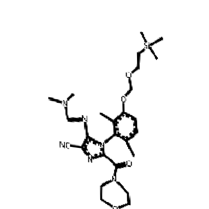 Cc1ccc(OCOCC[Si](C)(C)C)c(C)c1-n1c(C(=O)N2CCOCC2)nc(C#N)c1/N=C/N(C)C